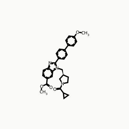 COC(=O)c1ccc2nc(-c3ccc(-c4ccc(OC)cc4)cc3)n(C[C@H]3CCN(C(=O)C4CC4)C3)c2c1